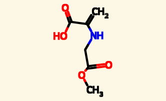 C=C(NCC(=O)OC)C(=O)O